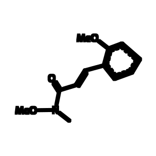 COc1ccccc1/C=C/C(=O)N(C)OC